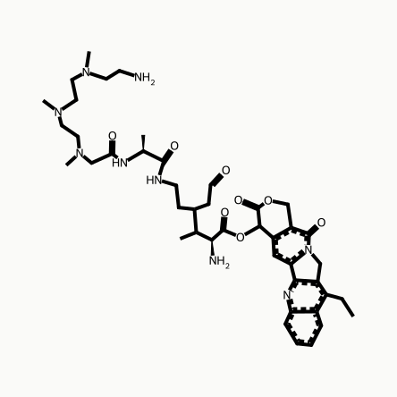 CCc1c2c(nc3ccccc13)-c1cc3c(c(=O)n1C2)COC(=O)C3OC(=O)[C@@H](N)C(C)C(CC=O)CCNC(=O)[C@H](C)NC(=O)CN(C)CCN(C)CCN(C)CCN